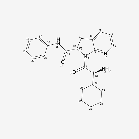 N[C@H](C(=O)N1c2ncccc2C[C@H]1C(=O)Nc1ccccc1)C1CCCCC1